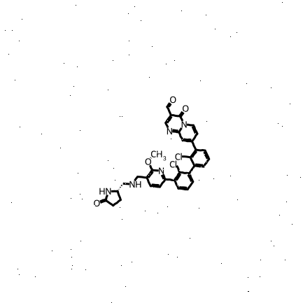 COc1nc(-c2cccc(-c3cccc(-c4ccn5c(=O)c(C=O)cnc5c4)c3Cl)c2Cl)ccc1CNC[C@@H]1CCC(=O)N1